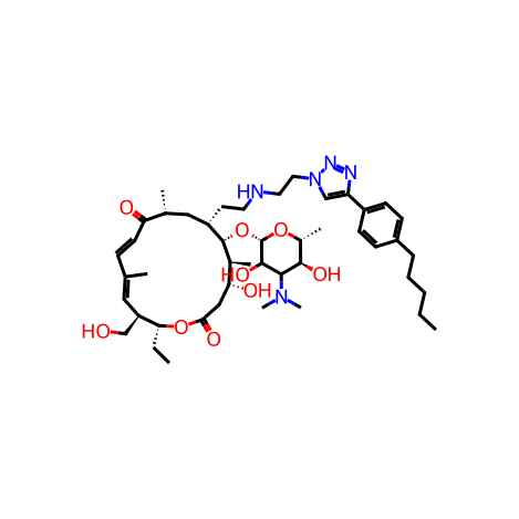 CCCCCc1ccc(-c2cn(CCNCC[C@H]3C[C@@H](C)C(=O)/C=C/C(C)=C/[C@H](CO)[C@@H](CC)OC(=O)C[C@@H](O)[C@H](C)[C@H]3O[C@@H]3O[C@H](C)[C@@H](O)C(N(C)C)C3O)nn2)cc1